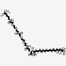 CC(C)CCCCNC(=O)COCCOCCNC(=O)COCCOCCNC(=O)CC[C@H](NC(=O)CCCCCCCCCCCCCCCC(C)(C)O)C(=O)O